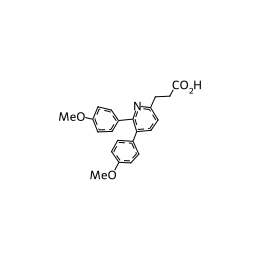 COc1ccc(-c2ccc(CCC(=O)O)nc2-c2ccc(OC)cc2)cc1